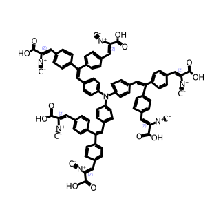 [C-]#[N+]/C(=C\c1ccc(C(=Cc2ccc(N(c3ccc(C=C(c4ccc(/C=C(\[N+]#[C-])C(=O)O)cc4)c4ccc(/C=C(\[N+]#[C-])C(=O)O)cc4)cc3)c3ccc(C=C(c4ccc(/C=C(\[N+]#[C-])C(=O)O)cc4)c4ccc(/C=C(\[N+]#[C-])C(=O)O)cc4)cc3)cc2)c2ccc(/C=C(\[N+]#[C-])C(=O)O)cc2)cc1)C(=O)O